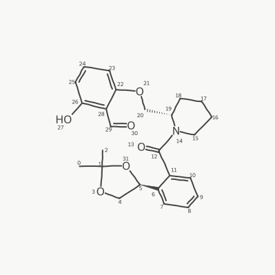 CC1(C)OC[C@H](c2ccccc2C(=O)N2CCCC[C@H]2COc2cccc(O)c2C=O)O1